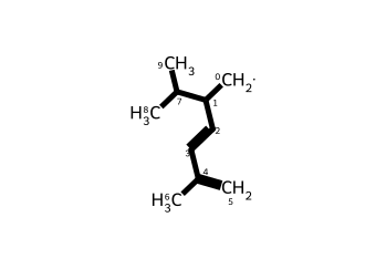 [CH2]C(C=CC(=C)C)C(C)C